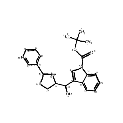 CC(C)(C)OC(=O)n1cc(C(O)C2CSC(c3cccnc3)N2)c2ccccc21